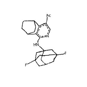 CC(=O)c1cnc(NC23CC4CC(F)(CC(F)(C4)C2)C3)c2c1C1CCC2CC1